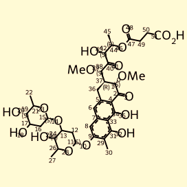 CO[C@@H]1C(=O)c2c(cc3cc(O[C@H]4CC(O[C@H]5CC(O)[C@H](O)C(C)O5)[C@H](O)C(C)O4)c(C)c(O)c3c2O)C[C@H]1[C@H](OC)C(=O)[C@@H](O)[C@@H](C)OC(=O)CCC(=O)O